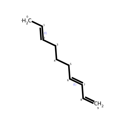 [CH2]/C=C/CCC/C=C/C=C